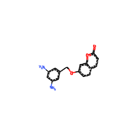 Nc1cc(N)cc(COc2ccc3ccc(=O)oc3c2)c1